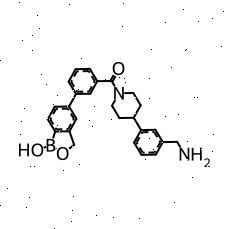 NCc1cccc(C2CCN(C(=O)c3cccc(-c4ccc5c(c4)COB5O)c3)CC2)c1